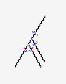 CCCCCCCCCCCCNC(=O)CCCN(CCCN(CCC(=O)NCCCCCCCCCCCC)CCC(=O)NCCCCCCCCCCCC)CCC(=O)NCCCCCCCCCCCC